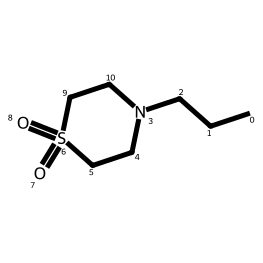 CCCN1CCS(=O)(=O)CC1